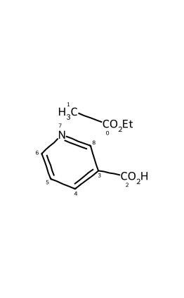 CCOC(C)=O.O=C(O)c1cccnc1